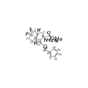 COC(=O)C1(N=[N+]=[N-])C[C@@H]2CC(F)(F)CC[C@H]2[C@@H]1COCc1ccccc1